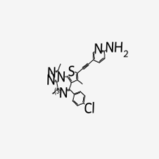 Cc1c(C#Cc2ccc(N)nc2)sc2c1C(c1ccc(Cl)cc1)=N[C@@H](C)c1nnc(C)n1-2